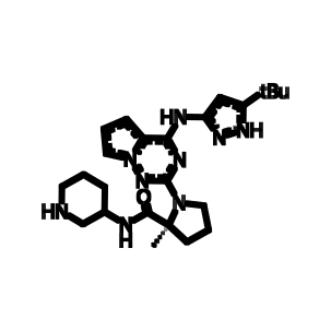 CC(C)(C)c1cc(Nc2nc(N3CCC[C@@]3(C)C(=O)NC3CCCNC3)nn3cccc23)n[nH]1